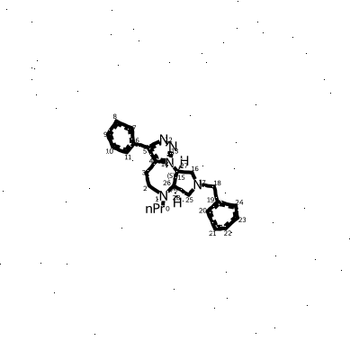 CCCN1CCc2c(-c3ccccc3)nnn2[C@H]2CN(Cc3ccccc3)C[C@H]21